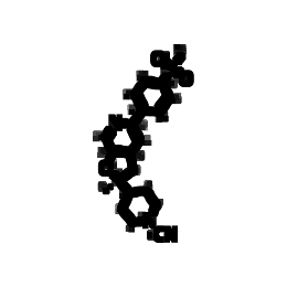 C[C@@]1(C2CCN(C#N)CC2)Cc2cc(-c3ccc(S(C)(=O)=O)cc3)ncc2O1